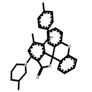 Cc1ccc(Nc2c(C)cc(N3CCCC(C)C3)c3c2C2(OC3=O)c3ccccc3Oc3ccccc32)cc1